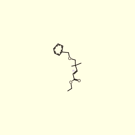 CCOC(=O)/C=C/C(C)(C)COCc1ccccc1